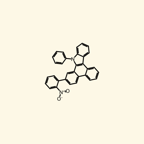 O=[N+]([O-])c1ccccc1-c1ccc2c3ccccc3c3c4ccccc4n(-c4ccccc4)c3c2c1